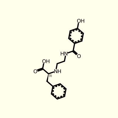 O=C(NCCN[C@@H](Cc1ccccc1)C(=O)O)c1ccc(O)cc1